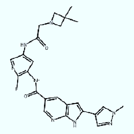 Cn1cc(-c2cc3cc(C(=O)Nc4cc(NC(=O)CN5CC(C)(C)C5)cnc4F)cnc3[nH]2)cn1